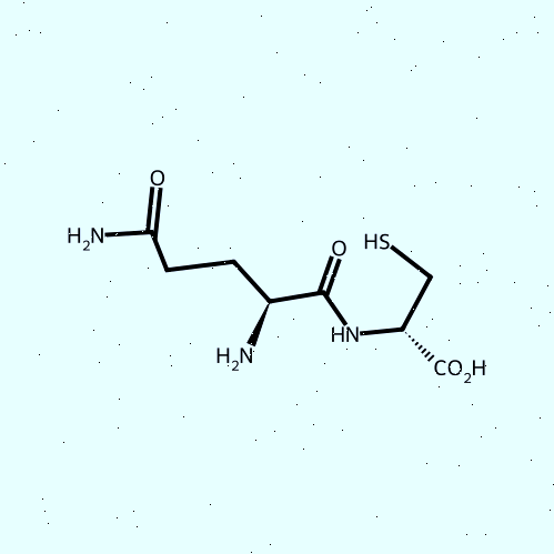 NC(=O)CC[C@H](N)C(=O)N[C@H](CS)C(=O)O